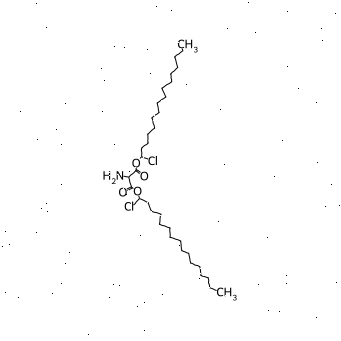 CCCCCCCCCCCCCCCC(Cl)OC(=O)C(N)C(=O)OC(Cl)CCCCCCCCCCCCCCC